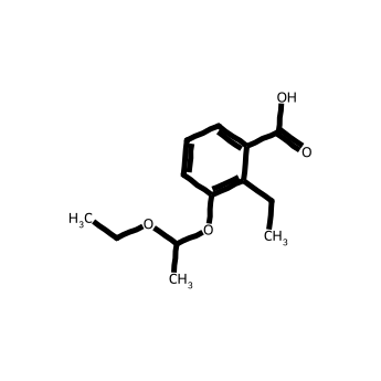 CCOC(C)Oc1cccc(C(=O)O)c1CC